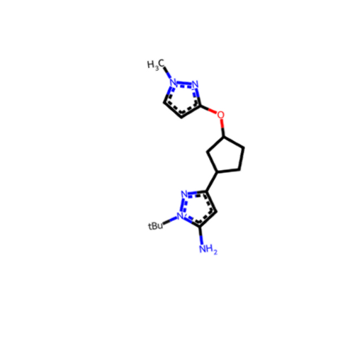 Cn1ccc(OC2CCC(c3cc(N)n(C(C)(C)C)n3)C2)n1